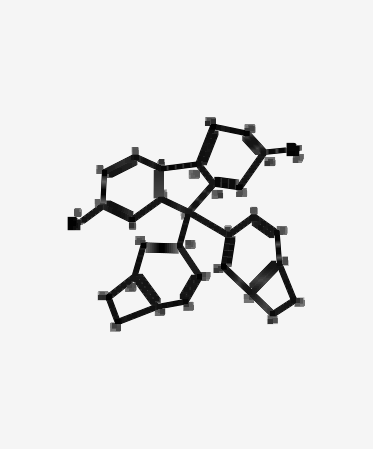 Brc1ccc2c(c1)C(c1ccc3c(c1)CC3)(c1ccc3c(c1)CC3)c1cc(Br)ccc1-2